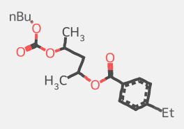 CCCCOC(=O)OC(C)CC(C)OC(=O)c1ccc(CC)cc1